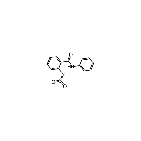 O=C(Nc1ccccc1)c1ccccc1N=S(=O)=O